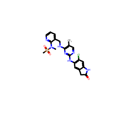 CN(c1ncccc1CNc1nc(Nc2cc3c(cc2Cl)NC(=O)C3)ncc1C(F)(F)F)S(C)(=O)=O